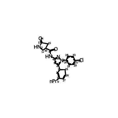 CCCC1=CC(c2cc(NC(=O)C3CNC(=O)C3)nn2-c2ccc(Cl)cc2)CC=C1